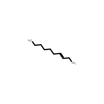 CC/C=C/[CH]CCCCC